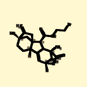 C=C1C[C@]23C[C@@]1(O)CC[C@H]2C1=C[C@H]2OC(=O)[C@@](C)(C1[C@@H]3C(=O)NCCBr)[C@H]2O